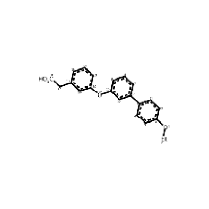 CCOc1ccc(-c2cccc(Oc3cccc(CC(=O)O)c3)c2)cc1